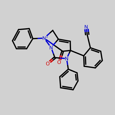 N#Cc1ccccc1C12C=C3C[N+](c4ccccc4)(C1=O)N3C(=O)N2c1ccccc1